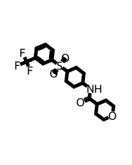 O=C(NC1CCC(S(=O)(=O)c2cccc(C(F)(F)F)c2)CC1)C1CCOCC1